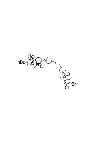 CCCCC(NS(=O)(=O)c1ccc(N2CCC(CCCC3CCN(S(=O)(=O)c4cc(Br)c(Cl)s4)CC3)CC2)c(Cl)c1)C(=O)O